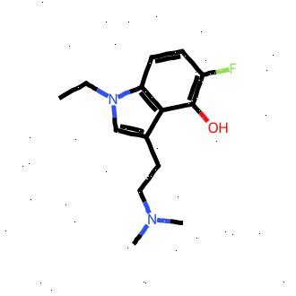 CCn1cc(CCN(C)C)c2c(O)c(F)ccc21